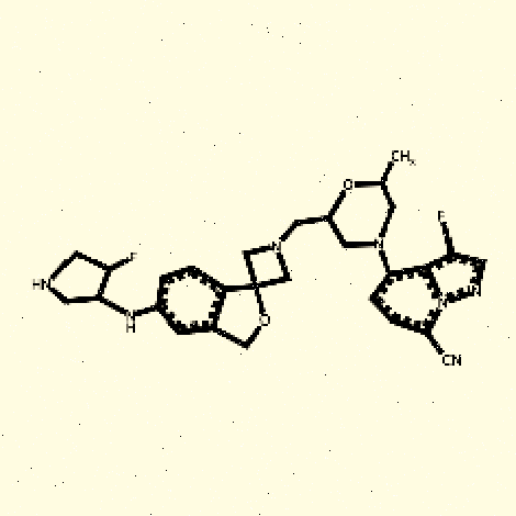 CC1CN(c2ccc(C#N)n3ncc(F)c23)CC(CN2CC3(C2)OCc2cc(NC4CNCC4F)ccc23)O1